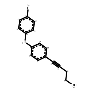 OCCC#Cc1ccc(Oc2ccc(F)cc2)cc1